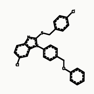 Clc1ccc(CSc2nc3ccc(Cl)cc3n2-c2ccc(COc3ccccc3)cc2)cc1